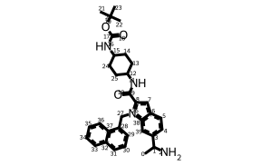 CC(N)c1ccc2cc(C(=O)NC3CCC(NC(=O)OC(C)(C)C)CC3)n(Cc3cccc4ccccc34)c2c1